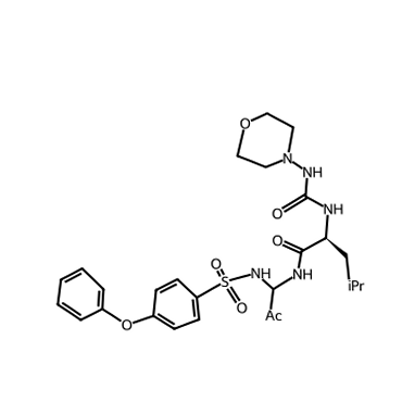 CC(=O)C(NC(=O)[C@H](CC(C)C)NC(=O)NN1CCOCC1)NS(=O)(=O)c1ccc(Oc2ccccc2)cc1